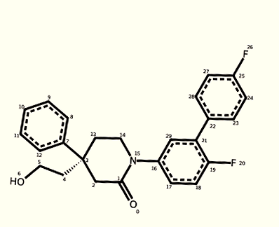 O=C1C[C@@](CCO)(c2ccccc2)CCN1c1ccc(F)c(-c2ccc(F)cc2)c1